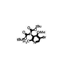 COc1c(Br)cnc(C)c1N(C(=O)OC(C)(C)C)C(=O)OC(C)(C)C